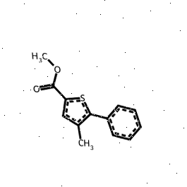 COC(=O)c1cc(C)c(-c2ccccc2)s1